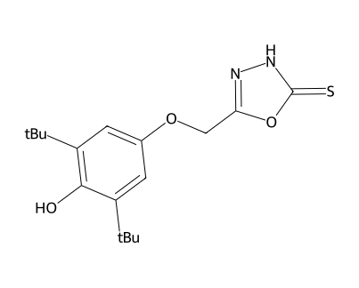 CC(C)(C)c1cc(OCc2n[nH]c(=S)o2)cc(C(C)(C)C)c1O